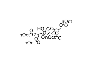 CCCCCCCCC(=O)OCC(COC(=O)CCCCCCCC)CC(=O)OCC(COC(=O)CC(COC(=O)CCCCCCCC)COC(=O)CCCCCCCC)CC(=O)O